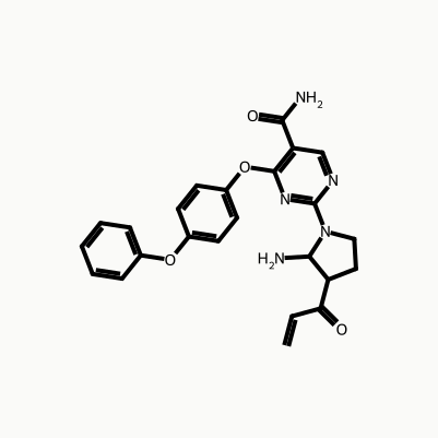 C=CC(=O)C1CCN(c2ncc(C(N)=O)c(Oc3ccc(Oc4ccccc4)cc3)n2)C1N